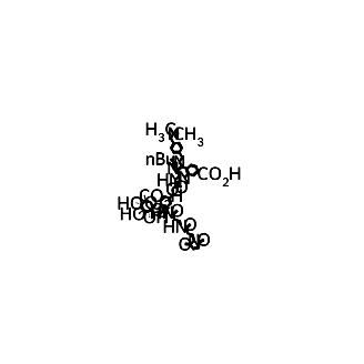 CCCCc1nc2c(NC(=O)OCc3ccc(O[C@@H]4O[C@H](C(=O)O)[C@@H](O)[C@H](O)[C@H]4O)c(NC(=O)CCNC(=O)CCN4C(=O)C=CC4=O)c3)nc3cc(C(=O)O)ccc3c2n1Cc1ccc(CN(C)C)cc1